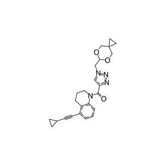 O=C(c1cn(CC2OCC3(CC3)CO2)nn1)N1CCCc2c(C#CC3CC3)cccc21